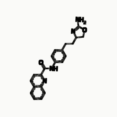 NC1=NC(CCc2ccc(NC(=O)c3ccc4ccccc4n3)cc2)CO1